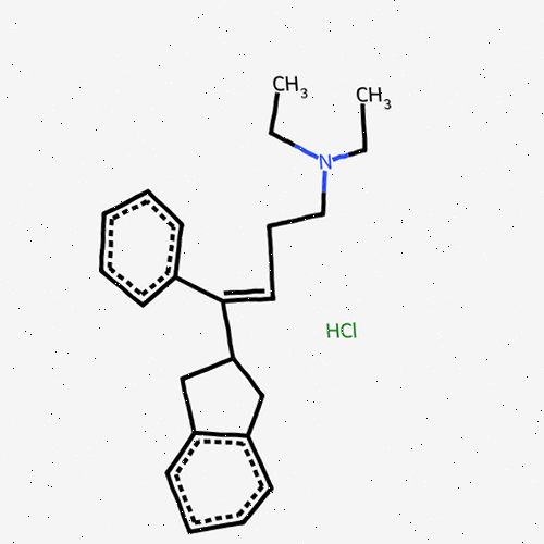 CCN(CC)CCC=C(c1ccccc1)C1Cc2ccccc2C1.Cl